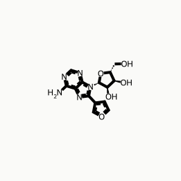 Nc1ncnc2c1nc(-c1ccoc1)n2[C@@H]1O[C@H](CO)[C@@H](O)[C@H]1O